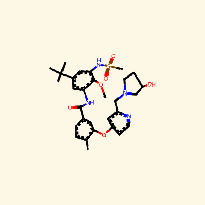 COc1c(NC(=O)c2ccc(C)c(Oc3ccnc(CN4CCC(O)C4)c3)c2)cc(C(C)(C)C)cc1NS(C)(=O)=O